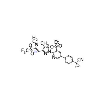 C=N/C(=C\c1nn(-c2ncc(-c3ccc(C4(C#N)CC4)cc3)cc2S(=O)(=O)CC)cc1C)S(=O)(=O)C(F)(F)F